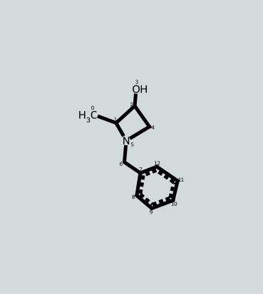 CC1C(O)CN1Cc1ccccc1